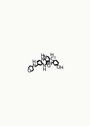 Cc1ccc(O)cc1Nc1ccnc2c1C(=O)Nc1cc(CNC3CCOCC3)ccc1N2